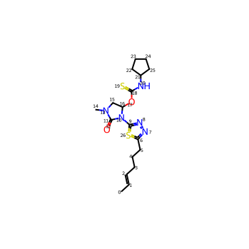 CC=CCCCc1nnc(N2C(=O)N(C)CC2OC(=S)NC2CCCC2)s1